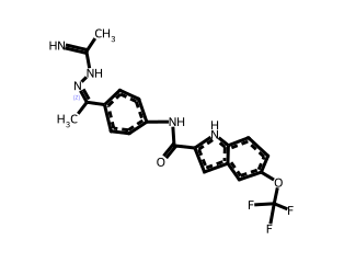 CC(=N)N/N=C(/C)c1ccc(NC(=O)c2cc3cc(OC(F)(F)F)ccc3[nH]2)cc1